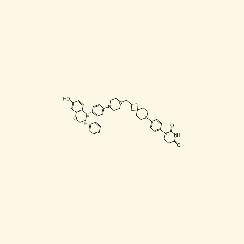 O=C1CCN(c2ccc(N3CCC4(CC3)CC(CN3CCN(c5ccc([C@H]6c7ccc(O)cc7OC[C@H]6c6ccccc6)cc5)CC3)C4)cc2)C(=O)N1